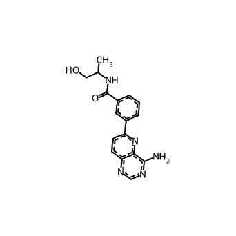 CC(CO)NC(=O)c1cccc(-c2ccc3ncnc(N)c3n2)c1